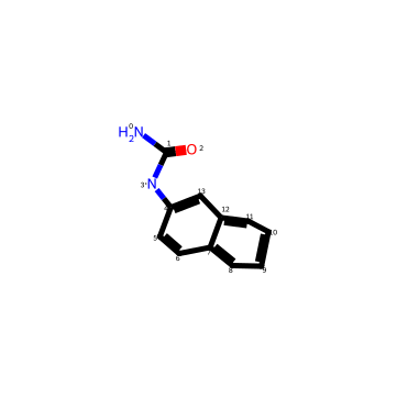 NC(=O)[N]c1ccc2ccccc2c1